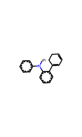 CC(C)N(c1ccccc1)c1ccccc1C1=CC=CCC1